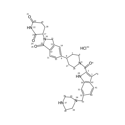 Cc1c(C(=O)N2CCC(c3ccc4c(c3)CN(C3CCC(=O)NC3=O)C4=O)CC2)[nH]c2cc(CN3CCNCC3)ccc12.Cl